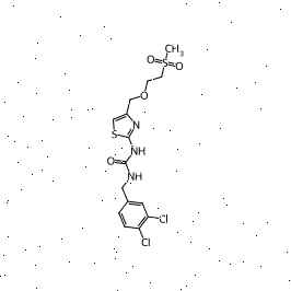 CS(=O)(=O)CCOCc1csc(NC(=O)NCc2ccc(Cl)c(Cl)c2)n1